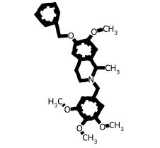 COc1cc2c(cc1OCc1ccccc1)CCN(Cc1cc(OC)c(OC)c(OC)c1)C2C